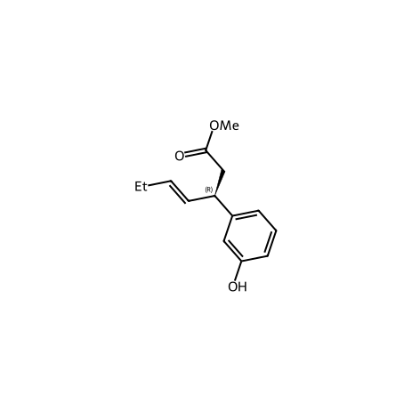 CCC=C[C@@H](CC(=O)OC)c1cccc(O)c1